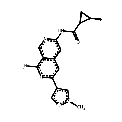 Cn1cc(-c2cc3cc(NC(=O)C4C[C@H]4F)ncc3c(N)n2)cn1